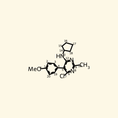 COc1ccc(-c2c(Cl)nc(C)nc2NC2CCCC2)cc1